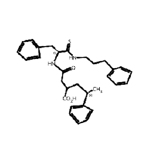 C[C@H](CC(CC(=O)N[C@@H](Cc1ccccc1)C(=S)NCCCc1ccccc1)C(=O)O)c1ccccc1